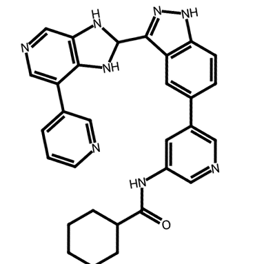 O=C(Nc1cncc(-c2ccc3[nH]nc(C4Nc5cncc(-c6cccnc6)c5N4)c3c2)c1)C1CCCCC1